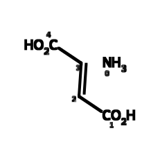 N.O=C(O)C=CC(=O)O